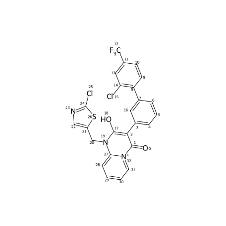 O=c1c(-c2cccc(-c3ccc(C(F)(F)F)cc3Cl)c2)c(O)n(Cc2cnc(Cl)s2)c2cccc[n+]12